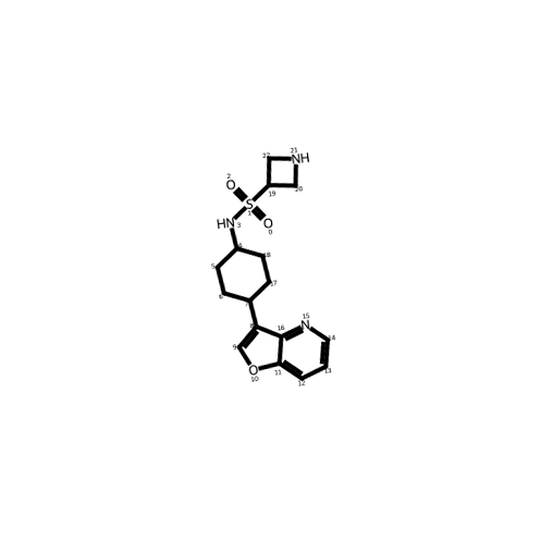 O=S(=O)(NC1CCC(c2coc3cccnc23)CC1)C1CNC1